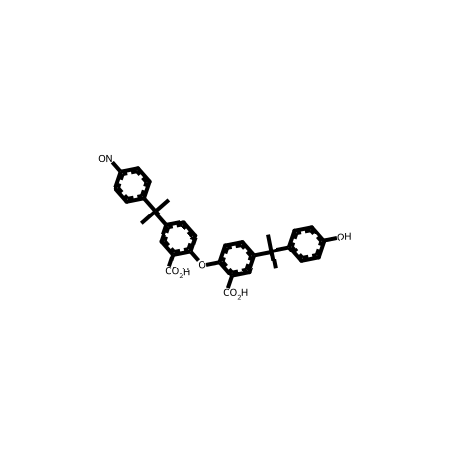 CC(C)(c1ccc(O)cc1)c1ccc(Oc2ccc(C(C)(C)c3ccc(N=O)cc3)cc2C(=O)O)c(C(=O)O)c1